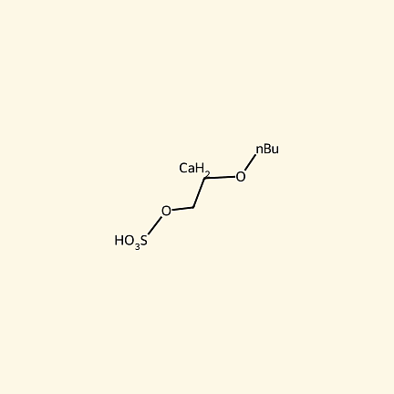 CCCCOCCOS(=O)(=O)O.[CaH2]